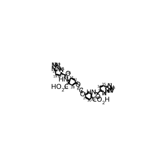 O=C(Nc1cc(OCCOc2ccc(NC(=O)c3ccc4nnnn4n3)c(C(=O)O)c2)ccc1C(=O)O)c1ccc2nnnn2n1